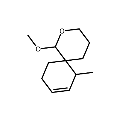 COC1OCCCC12CCC=CC2C